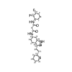 O=C(CC(=O)Nc1cccc(F)c1F)Nc1ccc2c(/C=C/c3ccccn3)n[nH]c2c1